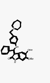 COc1cc2c(cc1OC)/C(=C(\Nc1ccc(CN3CCCCCC3)cc1)c1ccccc1)C(=O)N2